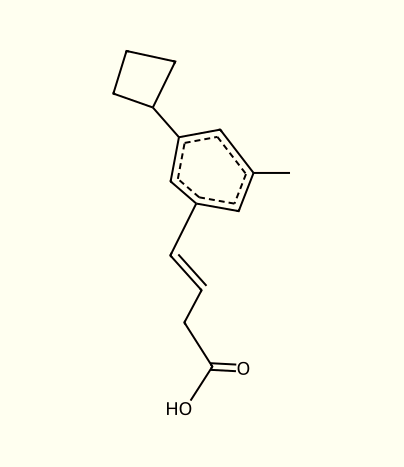 Cc1cc(/C=C/CC(=O)O)cc(C2CCC2)c1